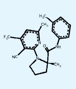 Cc1cccc(NC(=O)[C@]2(C)CCCN2c2nc(C)cc(C(F)(F)F)c2C#N)c1